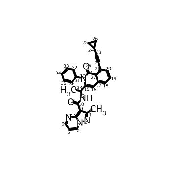 Cc1nn2cccnc2c1C(=O)NC(C)c1cc2cccc(C#CC3CC3)c2c(=O)n1-c1ccccc1